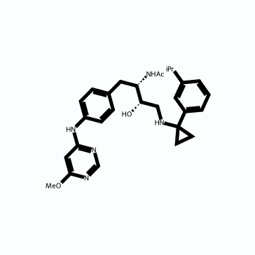 COc1cc(Nc2ccc(C[C@H](NC(C)=O)[C@@H](O)CNC3(c4cccc(C(C)C)c4)CC3)cc2)ncn1